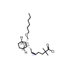 CCCCCCOC[C@@H]1[C@H](C/C=C\CCC(C)(C)C(=O)Cl)[C@@H]2CC[C@H]1O2